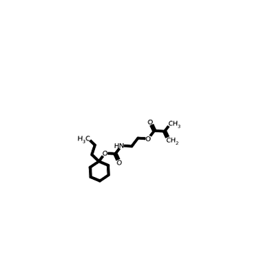 C=C(C)C(=O)OCCNC(=O)OC1(CCC)CCCCC1